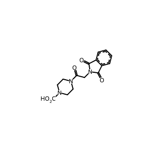 O=C(O)N1CCN(C(=O)CN2C(=O)c3ccccc3C2=O)CC1